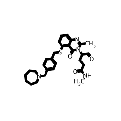 CNC(=O)CCC(C=O)n1c(C)nc2cccc(SCc3ccc(CN4CCCCCC4)cc3)c2c1=O